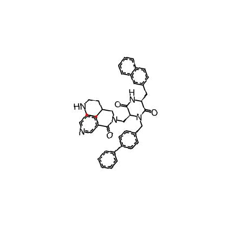 O=C1N[C@@H](Cc2ccc3ccccc3c2)C(=O)N(Cc2ccc(-c3ccccc3)cc2)[C@H]1CN(CC1CCNCC1)C(=O)c1cccnc1